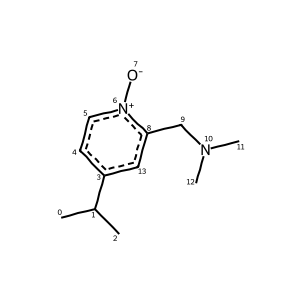 CC(C)c1cc[n+]([O-])c(CN(C)C)c1